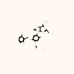 COCC1=NC2C(NC(=O)N2c2cc(OCc3c(F)cccc3OC)c(OCC(=O)O)cc2Cl)C(OC)=N1